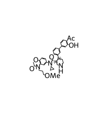 COCCCN1C(=O)COc2ccc(N(C(=O)[C@H]3CNCC[C@@H]3c3cccc(-c4ccc(C(C)=O)c(O)c4)c3)C3CC3)cc21